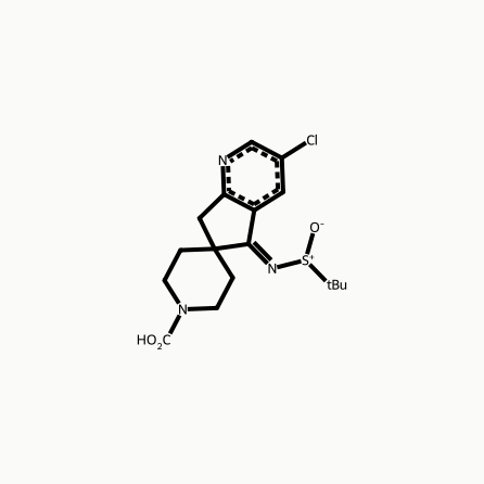 CC(C)(C)[S+]([O-])/N=C1\c2cc(Cl)cnc2CC12CCN(C(=O)O)CC2